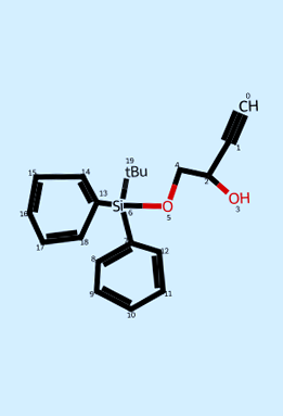 C#CC(O)CO[Si](c1ccccc1)(c1ccccc1)C(C)(C)C